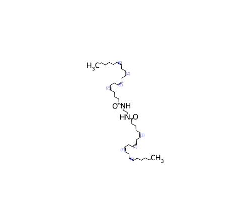 CCCCC/C=C\C/C=C\C/C=C\C/C=C\CCCC(=O)NCCNC(=O)CCC/C=C\C/C=C\C/C=C\C/C=C\CCCCC